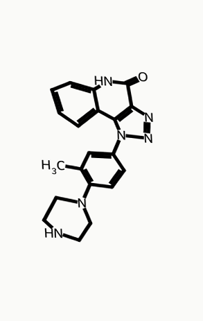 Cc1cc(-n2nnc3c(=O)[nH]c4ccccc4c32)ccc1N1CCNCC1